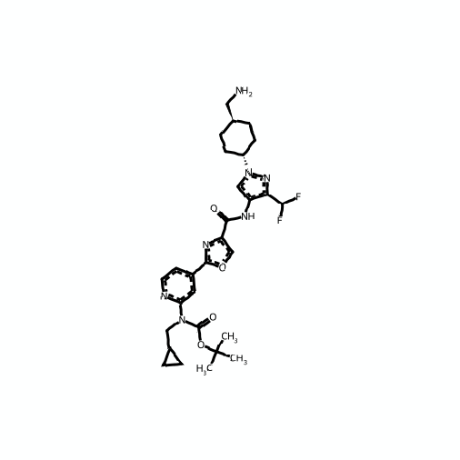 CC(C)(C)OC(=O)N(CC1CC1)c1cc(-c2nc(C(=O)Nc3cn([C@H]4CC[C@H](CN)CC4)nc3C(F)F)co2)ccn1